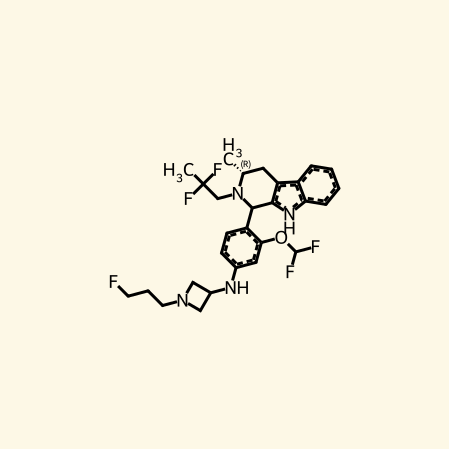 C[C@@H]1Cc2c([nH]c3ccccc23)C(c2ccc(NC3CN(CCCF)C3)cc2OC(F)F)N1CC(C)(F)F